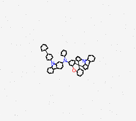 c1ccc(-c2ccc(-n3c4ccccc4c4ccc(N(c5ccccc5)c5ccc6c(c5)Oc5ccccc5C65c6ccccc6-n6c7ccccc7c7cccc5c76)cc43)cc2)cc1